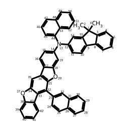 CC1(C)c2ccccc2-c2ccc(N(c3ccc4c(c3)oc3c(-c5ccc6ccccc6c5)c5c(cc34)oc3ccccc35)c3cccc4ccccc34)cc21